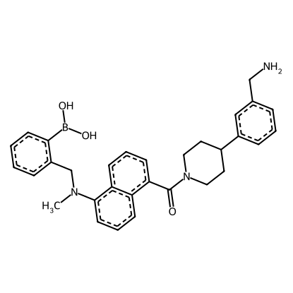 CN(Cc1ccccc1B(O)O)c1cccc2c(C(=O)N3CCC(c4cccc(CN)c4)CC3)cccc12